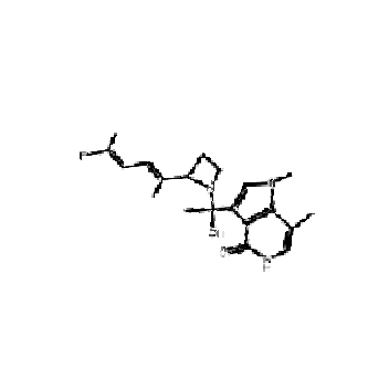 C/C(F)=C\C=C(/C)C1CCN1C(C)(O)c1cn(C)c2c(C)c[nH]c(=O)c12